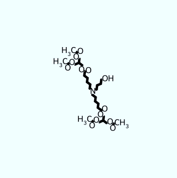 CC(=O)OCC(COC(C)=O)COC(=O)CCCCCN(CCCCO)CCCCCC(=O)OCC(COC(C)=O)COC(C)=O